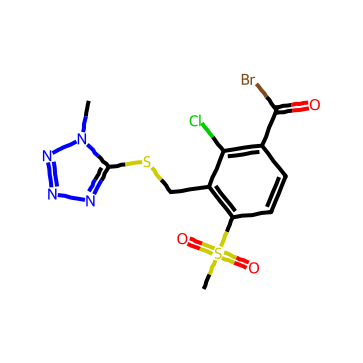 Cn1nnnc1SCc1c(S(C)(=O)=O)ccc(C(=O)Br)c1Cl